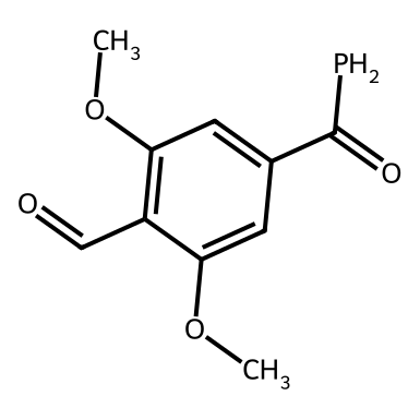 COc1cc(C(=O)P)cc(OC)c1C=O